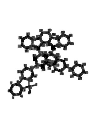 CC1(C)c2ccccc2-c2ccc(-c3nc(-c4ccc(-c5ccccc5)cc4)nc(-n4c5ccccc5c5ccc6c7ccccc7n(-c7ccccc7)c6c54)n3)cc21